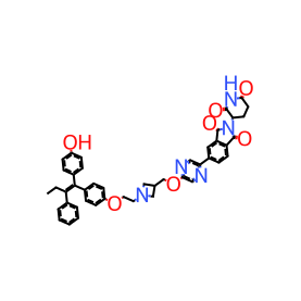 CCC(=C(c1ccc(O)cc1)c1ccc(OCCN2CC(COc3cnc(-c4ccc5c(c4)C(=O)N(C4CCC(=O)NC4=O)C5=O)cn3)C2)cc1)c1ccccc1